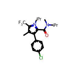 Cc1c(-c2ccc(Cl)cc2)c(C(=O)N(C)C(C)C)n(C(C)C)c1C(F)(F)F